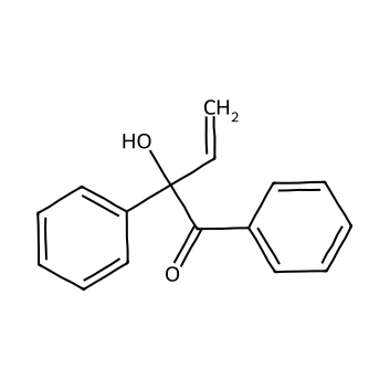 C=CC(O)(C(=O)c1ccccc1)c1ccccc1